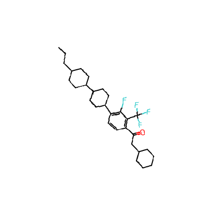 CCCC1CCC(C2CCC(c3ccc(C(=O)CC4CCCCC4)c(C(F)(F)F)c3F)CC2)CC1